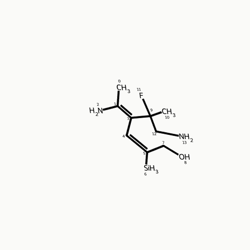 C/C(N)=C(/C=C(/[SiH3])CO)C(C)(F)CN